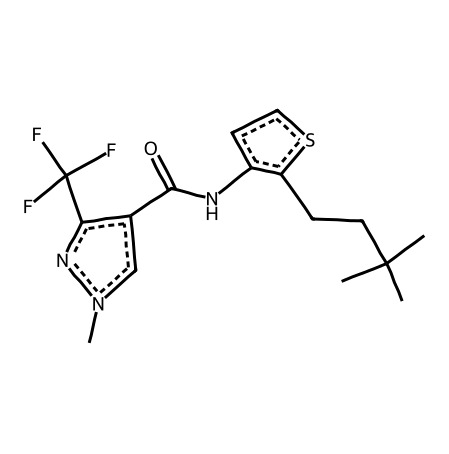 Cn1cc(C(=O)Nc2ccsc2CCC(C)(C)C)c(C(F)(F)F)n1